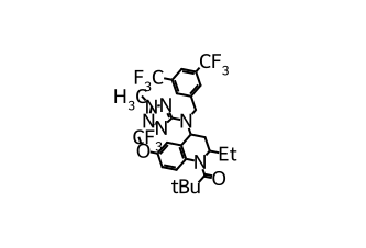 CCC1CC(N(Cc2cc(C(F)(F)F)cc(C(F)(F)F)c2)c2nnn(C)n2)c2cc(OC(F)(F)F)ccc2N1C(=O)C(C)(C)C